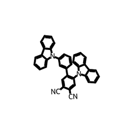 N#Cc1cc(-c2cccc(-n3c4ccccc4c4ccccc43)c2)c(-n2c3ccccc3c3ccccc32)cc1C#N